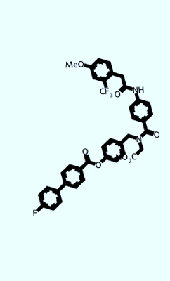 COc1ccc(CC(=O)Nc2ccc(C(=O)N(CC(=O)O)Cc3ccc(OC(=O)c4ccc(-c5ccc(F)cc5)cc4)cc3)cc2)c(C(F)(F)F)c1